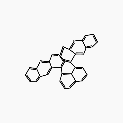 c1ccc2nc3cccc(-c4cccc5cccc(-c6cccc7nc8ccccc8cc67)c45)c3cc2c1